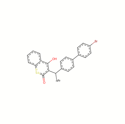 CCCC(c1ccc(-c2ccc(Br)cc2)cc1)c1c(O)c2ccccc2sc1=O